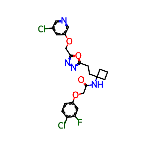 O=C(COc1ccc(Cl)c(F)c1)NC1(CCc2nnc(COc3cncc(Cl)c3)o2)CCC1